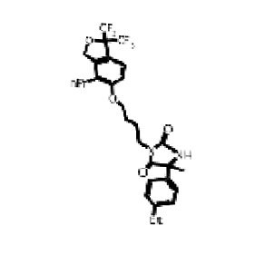 CCCc1c(OCCCCN2C(=O)NC(C)(c3ccc(CC)cc3)C2=O)ccc2c1COC2(C(F)(F)F)C(F)(F)F